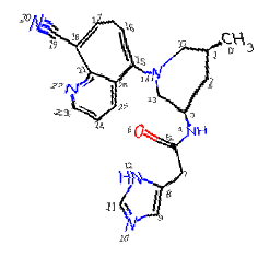 C[C@H]1C[C@@H](NC(=O)Cc2cnc[nH]2)CN(c2ccc(C#N)c3ncccc23)C1